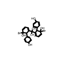 CC(C)(C1=CC=CC(O)(Br)C1c1ccc(O)cc1)C1=CC=CC(O)(Br)C1c1ccc(O)cc1